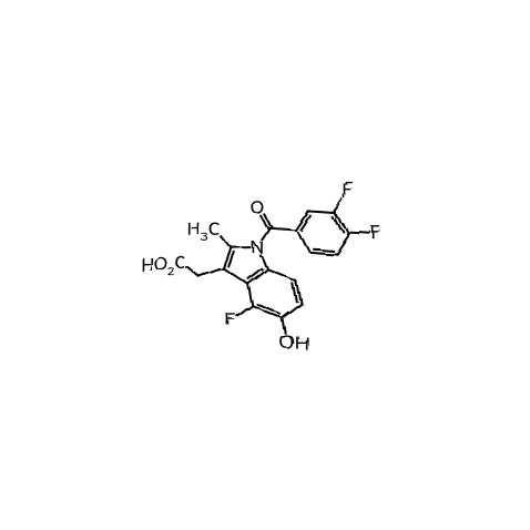 Cc1c(CC(=O)O)c2c(F)c(O)ccc2n1C(=O)c1ccc(F)c(F)c1